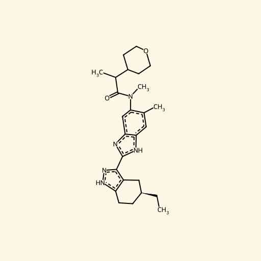 CC[C@H]1CCc2[nH]nc(-c3nc4cc(N(C)C(=O)C(C)C5CCOCC5)c(C)cc4[nH]3)c2C1